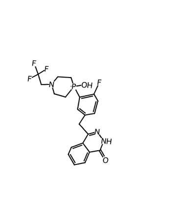 O=c1[nH]nc(Cc2ccc(F)c([P]3(O)CCN(CC(F)(F)F)CC3)c2)c2ccccc12